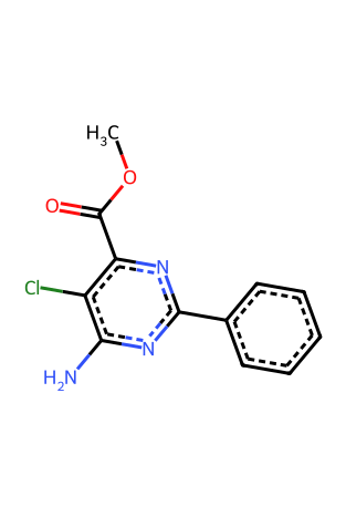 COC(=O)c1nc(-c2ccccc2)nc(N)c1Cl